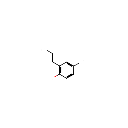 CC(C)CCc1cc(C(F)(F)F)ccc1O